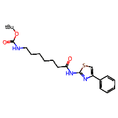 CC(C)(C)OC(=O)NCCCCCCC(=O)Nc1nc(-c2ccccc2)cs1